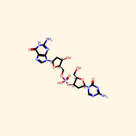 Nc1ncn([C@H]2C[C@@H](OP(=O)(O)OC[C@H]3O[C@@H](n4cnc5c(=O)[nH]c(N)nc54)C[C@H]3O)[C@@H](CO)O2)c(=O)n1